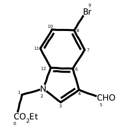 CCOC(=O)Cn1cc(C=O)c2cc(Br)ccc21